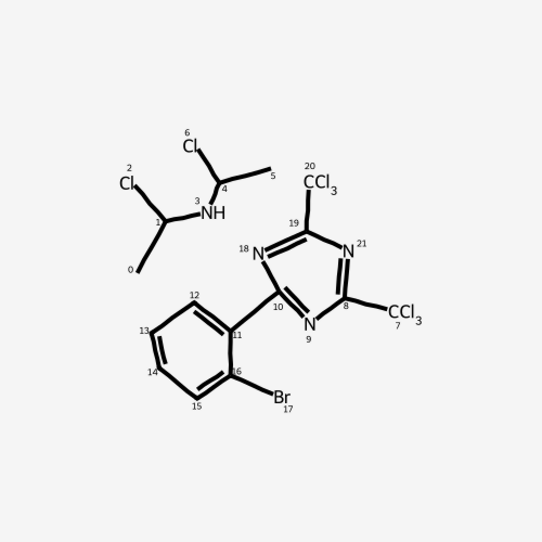 CC(Cl)NC(C)Cl.ClC(Cl)(Cl)c1nc(-c2ccccc2Br)nc(C(Cl)(Cl)Cl)n1